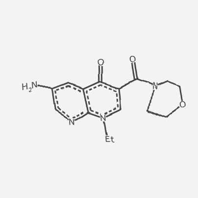 CCn1cc(C(=O)N2CCOCC2)c(=O)c2cc(N)cnc21